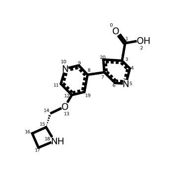 O=C(O)c1cncc(-c2cncc(OC[C@H]3CCN3)c2)c1